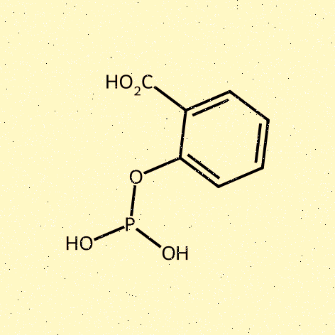 O=C(O)c1ccccc1OP(O)O